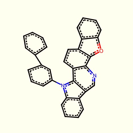 c1ccc(-c2cccc(-n3c4ccccc4c4cnc5c(ccc6c7ccccc7oc65)c43)c2)cc1